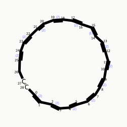 [C]1=C/C=C\C=C/C=C\C=C/C=C\C=C/C=C/C=C\C=C/C=C\C=C/C=C\CCC\1